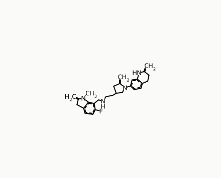 C=C1CCc2ccc(N3CC(CCNCc4c(F)ccc5c4N(C)C(=C)C5)CC3=C)cc2N1